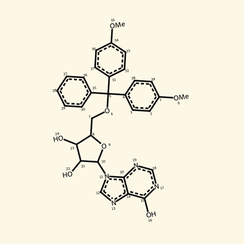 COc1ccc(C(OCC2OC(n3cnc4c(O)ncnc43)C(O)C2O)(c2ccccc2)c2ccc(OC)cc2)cc1